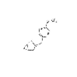 FC(F)(F)Sc1ccc(CN2CC3CC3C2)cc1